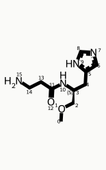 COC[C@H](Cc1cnc[nH]1)NC(=O)CCN